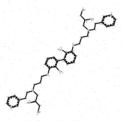 Cc1c(OCCCN(CCc2cccnc2)CC(O)CO)cccc1-c1cccc(OCCCN(CCc2cccnc2)CC(O)CO)c1C